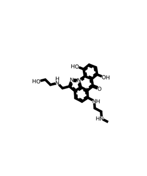 CNCCNc1ccc2c(CNCCO)nn3c4c(O)ccc(O)c4c(=O)c1c23